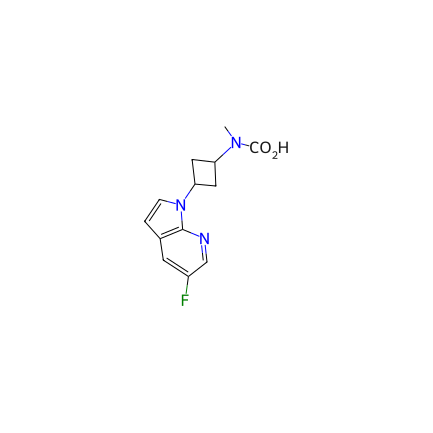 CN(C(=O)O)C1CC(n2ccc3cc(F)cnc32)C1